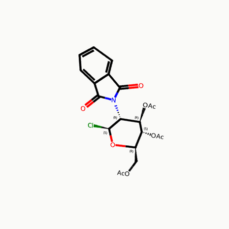 CC(=O)OC[C@H]1O[C@@H](Cl)[C@H](N2C(=O)c3ccccc3C2=O)[C@@H](OC(C)=O)[C@@H]1OC(C)=O